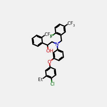 CCc1cc(Oc2cccc(N(Cc3cc(C(F)(F)F)ccc3F)CC(O)c3ccccc3C(F)(F)F)c2)ccc1Cl